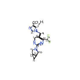 O=C(O)c1cn(Cc2cnc(N3CC4CC4C3)nc2C(F)F)cn1